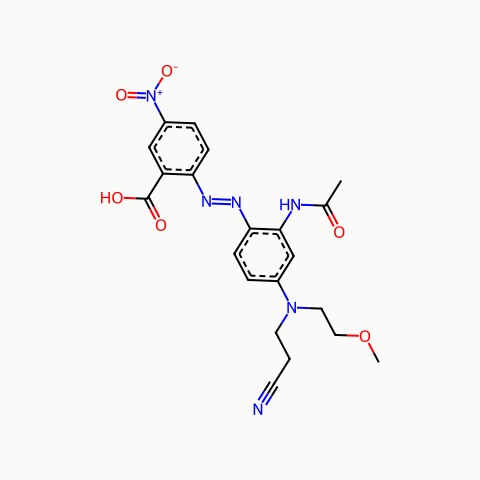 COCCN(CCC#N)c1ccc(/N=N/c2ccc([N+](=O)[O-])cc2C(=O)O)c(NC(C)=O)c1